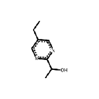 CCc1cnc(C(C)O)nc1